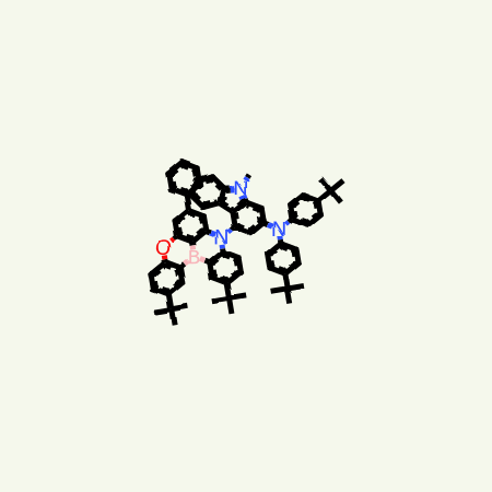 Cn1c2ccccc2c2c(N3c4ccc(C(C)(C)C)cc4B4c5cc(C(C)(C)C)ccc5Oc5cc(-c6ccccc6)cc3c54)cc(N(c3ccc(C(C)(C)C)cc3)c3ccc(C(C)(C)C)cc3)cc21